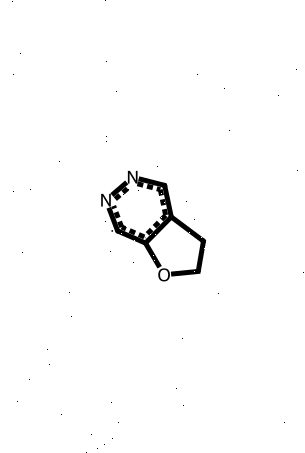 [c]1nncc2c1OCC2